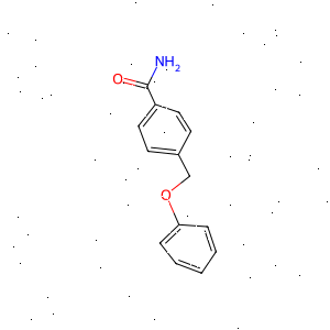 NC(=O)c1ccc(COc2ccccc2)cc1